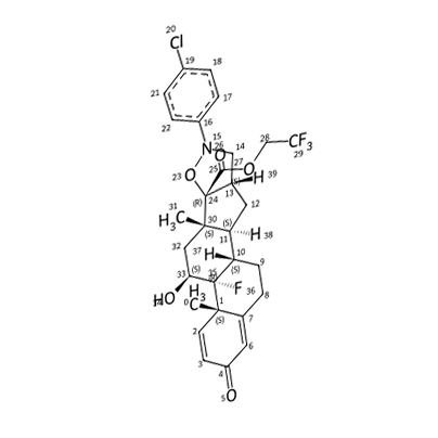 C[C@]12C=CC(=O)C=C1CC[C@H]1[C@@H]3C[C@H]4CN(c5ccc(Cl)cc5)O[C@@]4(C(=O)OCC(F)(F)F)[C@@]3(C)C[C@H](O)[C@@]12F